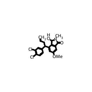 C=CCC(c1ccc(Cl)c(Cl)c1)c1cc(OC)cc2c1C(O)N(C)C2=O